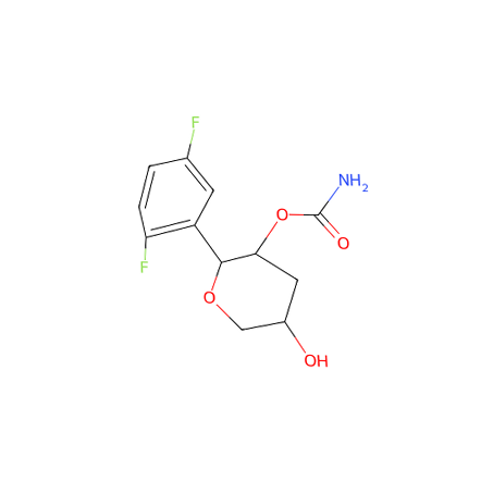 NC(=O)OC1CC(O)COC1c1cc(F)ccc1F